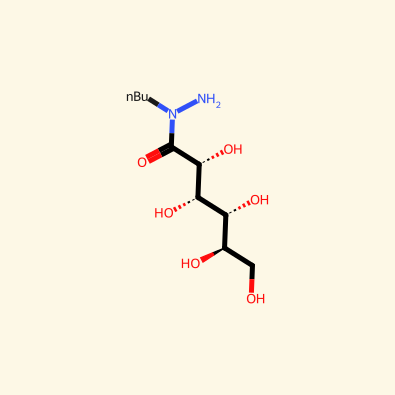 CCCCN(N)C(=O)[C@H](O)[C@@H](O)[C@H](O)[C@H](O)CO